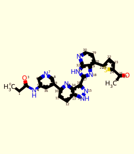 CCC(=O)Nc1cncc(-c2ccc3[nH]nc(-c4nc5c(-c6ccc(C(C)=O)s6)ccnc5[nH]4)c3n2)c1